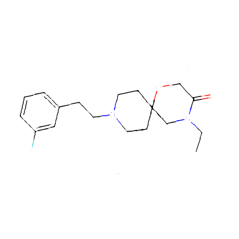 CCN1CC2(CCN(CCc3cccc(F)c3)CC2)O[C@H](C)C1=O.Cl